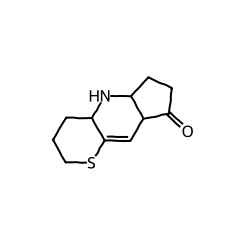 O=C1CCC2NC3CCCSC3=CC12